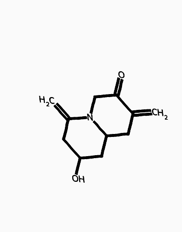 C=C1CC2CC(O)CC(=C)N2CC1=O